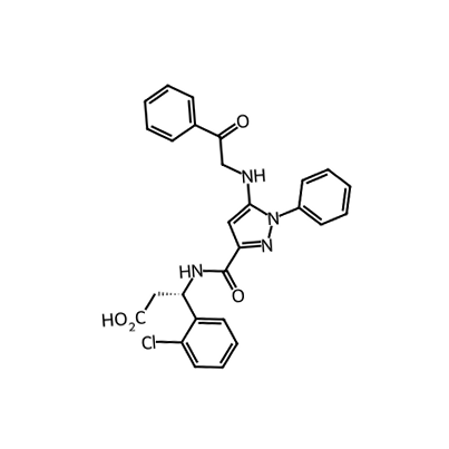 O=C(O)C[C@H](NC(=O)c1cc(NCC(=O)c2ccccc2)n(-c2ccccc2)n1)c1ccccc1Cl